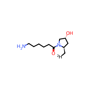 [2H]C[C@@H]1C[C@@H](O)CN1C(=O)CCCCCN